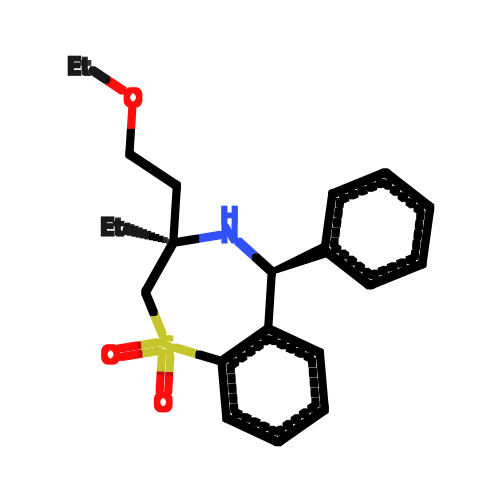 CCOCC[C@]1(CC)CS(=O)(=O)c2ccccc2[C@H](c2ccccc2)N1